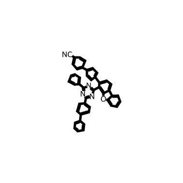 N#Cc1ccc(-c2ccc(-c3ccc4c(oc5ccccc54)c3-c3nc(-c4ccccc4)nc(-c4ccc(-c5ccccc5)cc4)n3)cc2)cc1